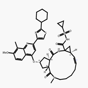 COc1ccc2c(O[C@@H]3C[C@H]4C(=O)NC5(C(=O)NS(=O)(=O)C6CC6)C[C@H]5/C=C\CCCCN(C)C(=O)[C@@H]4C3)cc(-c3csc(C4CCCCC4)n3)nc2c1C